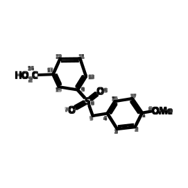 COc1ccc(CS(=O)(=O)c2cccc(C(=O)O)c2)cc1